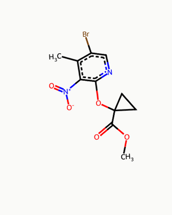 COC(=O)C1(Oc2ncc(Br)c(C)c2[N+](=O)[O-])CC1